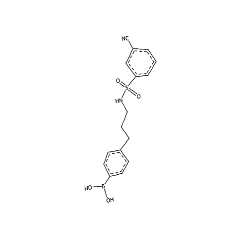 N#Cc1cccc(S(=O)(=O)NCCCc2ccc(B(O)O)cc2)c1